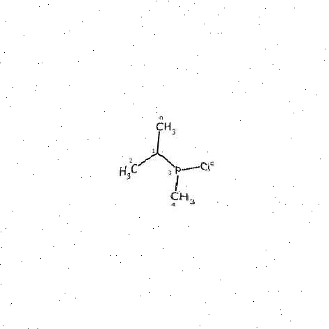 CC(C)P(C)Cl